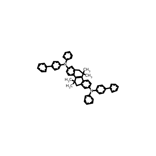 CC1(C)Cc2cc(N(c3ccccc3)c3ccc(-c4ccccc4)cc3)ccc2C2=C1c1ccc(N(c3ccccc3)c3ccc(-c4ccccc4)cc3)cc1CC2(C)C